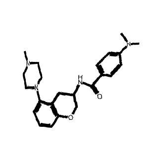 CN1CCN(c2cccc3c2CC(NC(=O)c2ccc(N(C)C)cc2)CO3)CC1